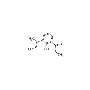 CC=C(C)c1cccc(C(=O)OC)c1O